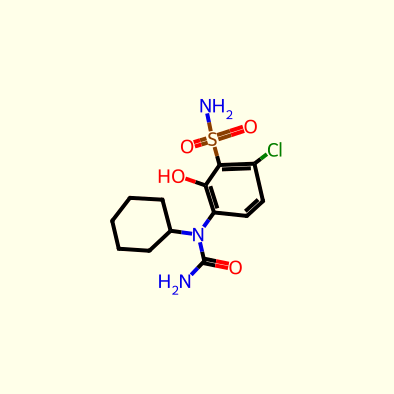 NC(=O)N(c1ccc(Cl)c(S(N)(=O)=O)c1O)C1CCCCC1